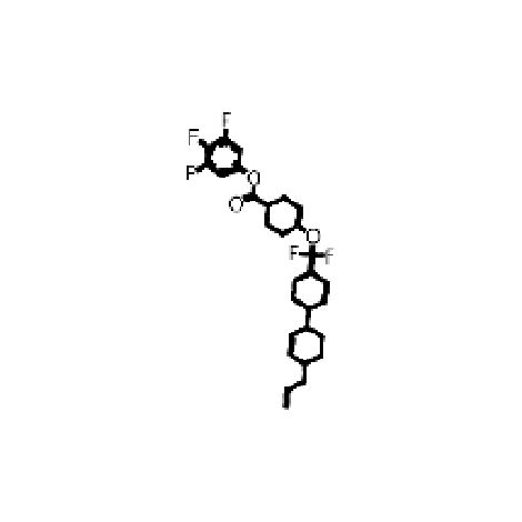 CCCC1C=CC(C2CCC(C(F)(F)OC3CCC(C(=O)Oc4cc(F)c(F)c(F)c4)CC3)CC2)CC1